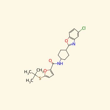 CC(C)(C)Sc1ccc(C(=O)NC2CCC(c3nc4cc(Cl)ccc4o3)CC2)o1